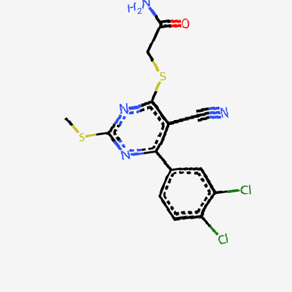 CSc1nc(SCC(N)=O)c(C#N)c(-c2ccc(Cl)c(Cl)c2)n1